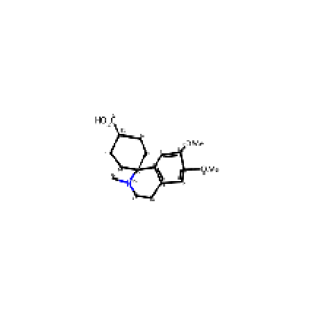 COc1cc2c(cc1OC)[C@]1(CC[C@H](C(=O)O)CC1)N(C)CC2